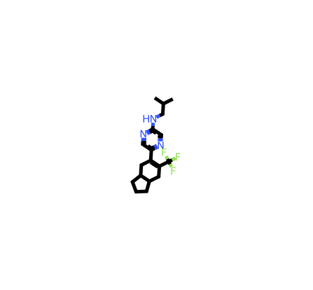 CC(C)CNc1cnc(C2=C(C(F)(F)F)CC3CCCC3C2)cn1